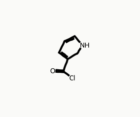 O=C(Cl)C1=CC=CNC1